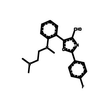 CN(C)CCN(C)c1ccccc1-c1oc(-c2ccc(F)cc2)nc1C=O